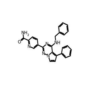 NC(=O)c1ccc(-c2nc(NCc3ccccc3)c3c(-c4ccccc4)ccn3n2)cn1